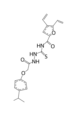 C=Cc1cc(C(=O)NC(=S)NNC(=O)COc2ccc(C(C)C)cc2)oc1C=C